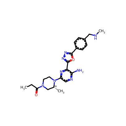 CCC(=O)N1CCN(c2cnc(N)c(-c3nnc(-c4ccc(CNC)cc4)o3)n2)[C@H](C)C1